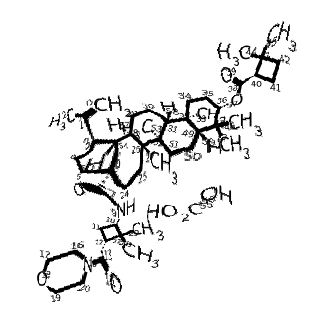 C=C(C)[C@@H]1CC[C@]2(C(=O)N[C@H]3C[C@@H](C(=O)N4CCOCC4)C3(C)C)CC[C@]3(C)[C@H](CC[C@@H]4[C@@]5(C)CC[C@H](OC(=O)[C@@H]6CCC6(C)C)C(C)(C)[C@@H]5CC[C@]43C)[C@@H]12.O=C(O)O